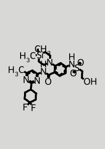 Cc1cc(NC(=O)c2ccc(NS(=O)(=O)CCO)cc2N2CC[Si](C)(C)CC2)nc(C2CCC(F)(F)CC2)n1